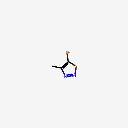 Cc1nnsc1S